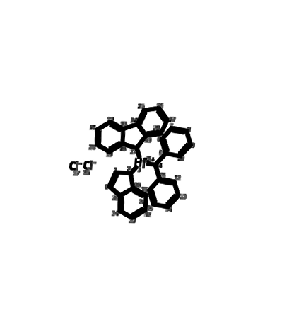 C1=C[CH]([Hf+2]([CH](c2ccccc2)c2ccccc2)[CH]2c3ccccc3-c3ccccc32)c2ccccc21.[Cl-].[Cl-]